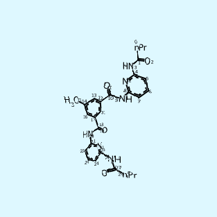 CCCC(=O)Nc1cccc(NC(=O)c2cc(C)cc(C(=O)Nc3cccc(NC(=O)CCC)n3)c2)n1